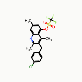 Cc1cc(OS(=O)(=O)C(F)(F)F)c2c(C)c(Cc3ccc(Cl)cc3)c(C)nc2c1